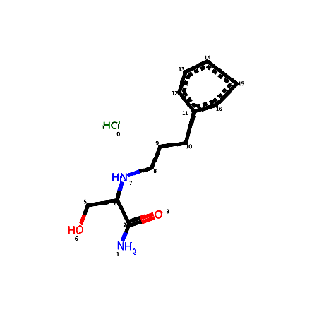 Cl.NC(=O)C(CO)NCCCc1ccccc1